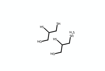 OCC(S)CS.OCC(S)CS.S